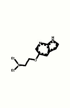 CCN(CC)CCOc1cnc2[nH]ccc2c1